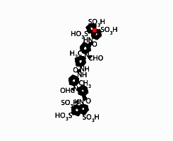 Cc1ccc(C(=O)Nc2ccc(S(=O)(=O)O)c3cc(S(=O)(=O)O)cc(S(=O)(=O)O)c23)cc1N(C=O)c1cccc(NC(=O)Nc2cccc(N(C=O)c3cc(C(=O)Nc4ccc(S(=O)(=O)O)c5cc(S(=O)(=O)O)cc(S(=O)(=O)O)c45)ccc3C)c2)c1